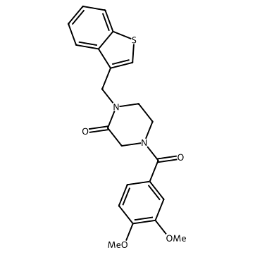 COc1ccc(C(=O)N2CCN(Cc3csc4ccccc34)C(=O)C2)cc1OC